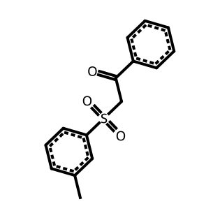 Cc1cccc(S(=O)(=O)CC(=O)c2ccccc2)c1